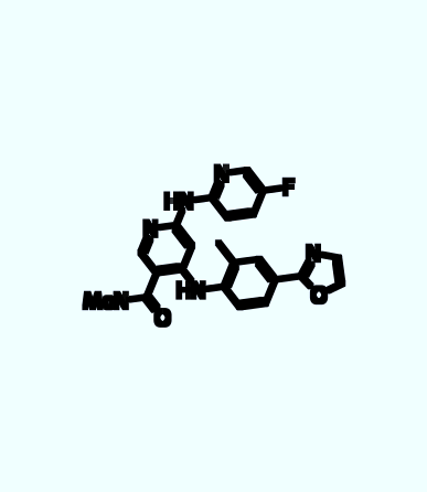 CNC(=O)c1cnc(Nc2ccc(F)cn2)cc1Nc1ccc(-c2ncco2)cc1C